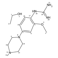 CCO.COc1cc(N2CCN(C)CC2)ccc1NC(=N)N